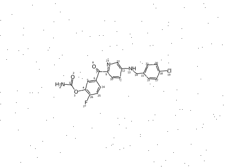 NC(=O)Oc1cc(C(=O)c2ccc(NCc3ccc(Cl)cc3)cn2)ccc1F